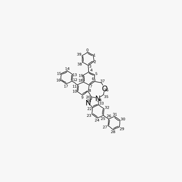 c1ccc(-c2cc3c4c(ccc(-c5ccccc5)c4c2)-c2nc4ccc(-c5ccccc5)cc4n2COC3)cc1